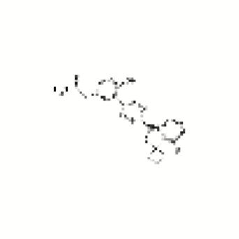 NC(=O)Cc1ccc(O)c(-c2cnc(NCC3(c4ncccc4F)CCC3)nc2)c1